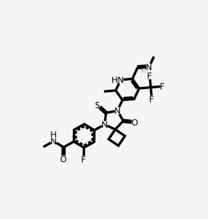 C/N=C/C1=C(C(F)(F)F)C=C(N2C(=O)C3(CCC3)N(c3ccc(C(=O)NC)c(F)c3)C2=S)C(C)N1